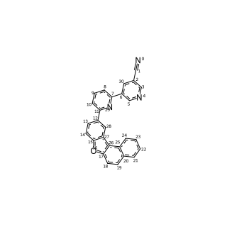 N#Cc1cncc(-c2cccc(-c3ccc4oc5ccc6ccccc6c5c4c3)n2)c1